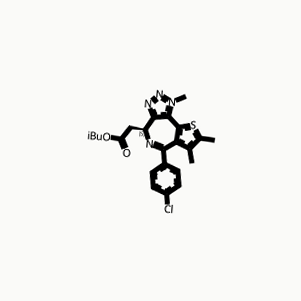 Cc1sc2c(c1C)C(c1ccc(Cl)cc1)=N[C@@H](CC(=O)OCC(C)C)c1nnn(C)c1-2